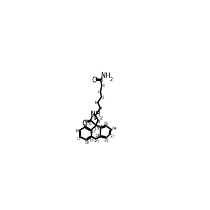 NC(=O)CCCCCCCC1(C(N)=O)c2ccccc2Cc2ccccc21